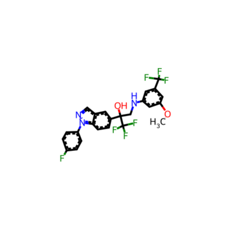 COc1cc(NCC(O)(c2ccc3c(cnn3-c3ccc(F)cc3)c2)C(F)(F)F)cc(C(F)(F)F)c1